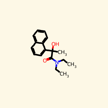 CCN(CC)C(=O)C(C)(O)c1cccc2ccccc12